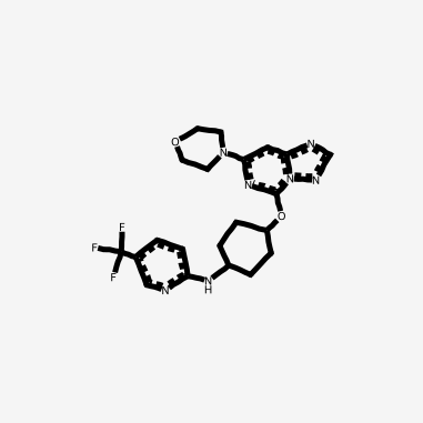 FC(F)(F)c1ccc(NC2CCC(Oc3nc(N4CCOCC4)cc4ncnn34)CC2)nc1